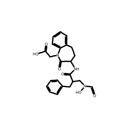 O=CN(O)CC(Cc1ccccc1)C(=O)NC1CCc2ccccc2N(CC(=O)O)C1=O